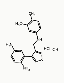 Cc1ccc(NCc2cscc2-c2cc(N)ccc2N)cc1C.Cl.Cl